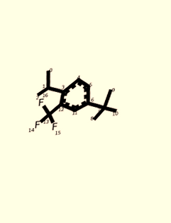 CC(C)c1ccc(C(C)(C)C)cc1C(F)(F)F